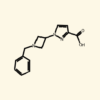 O=C(O)c1ccn(C2CN(Cc3ccccc3)C2)n1